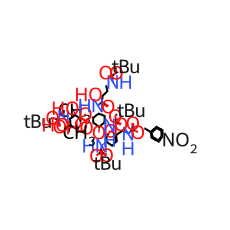 CN(C(=O)OC(C)(C)C)[C@@H]1[C@@H](O)[C@@H](O[C@@H]2[C@@H](O)[C@H](O[C@H]3OC(CNC(=O)OCc4ccc([N+](=O)[O-])cc4)=CC[C@H]3NC(=O)OC(C)(C)C)[C@@H](NC(=O)OC(C)(C)C)C[C@H]2NC(=O)[C@@H](O)CCNC(=O)OC(C)(C)C)OC[C@]1(C)O